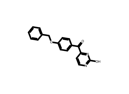 O=C(c1ccc(OCc2ccccc2)cc1)c1ccnc(O)n1